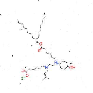 CCCCCCCCC(CCCCCCCC)COC(=O)CCCCCN(CCN(CC=C(C)C)CCCCCC(=O)OCl)C1CCC(O)CC1